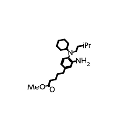 COC(=O)CCCCc1ccc(N(CCC(C)C)C2CCCCC2)c(N)c1